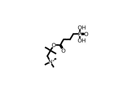 CC(C)(C[N+](C)(C)C)OC(=O)CCCP(=O)(O)O